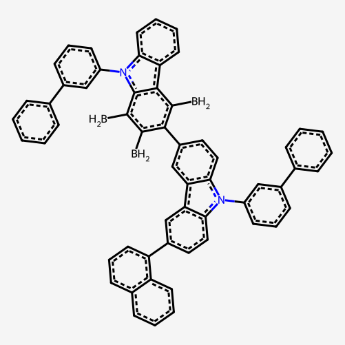 Bc1c(-c2ccc3c(c2)c2cc(-c4cccc5ccccc45)ccc2n3-c2cccc(-c3ccccc3)c2)c(B)c2c3ccccc3n(-c3cccc(-c4ccccc4)c3)c2c1B